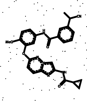 COc1ccc(NC(=O)c2cccc(C(C)C#N)c2)cc1Oc1ccc2nc(NC(=O)C3CC3)cn2n1